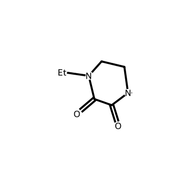 CCN1CC[N]C(=O)C1=O